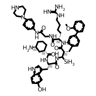 COc1ccccc1-c1ccc(C[C@@H](C(=O)N[C@@H](CCCCNC(=N)N)C(=O)NCC(=O)Nc2ccc(N3CCNCC3)cc2)C([SiH3])NC(=O)[C@H](Cc2c[nH]c3ccc(O)cc23)NC(=O)[C@H]2CCC[C@H](N)C2)cc1